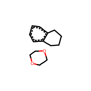 C1COCCO1.c1ccc2c(c1)CCCC2